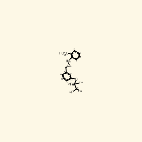 O=C(O)c1ccccc1NOCc1cccc(OC(F)(F)C(F)F)c1